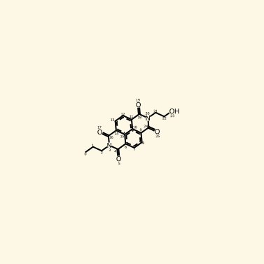 CCCN1C(=O)c2ccc3c4c(ccc(c24)C1=O)C(=O)N(CCO)C3=O